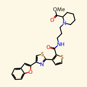 COC(=O)C1CCCCN1CCCNC(=O)c1sccc1-c1nc(-c2cc3ccccc3o2)cs1